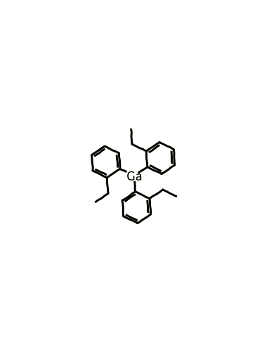 CCc1cccc[c]1[Ga]([c]1ccccc1CC)[c]1ccccc1CC